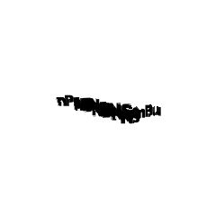 CCCCc1cc2sc(N=Nc3ccc(N=Nc4ccc(N(C)CCC)cc4)cc3)nc2s1